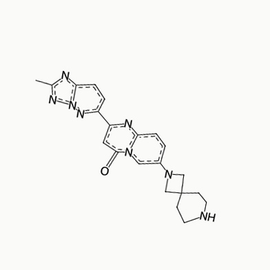 Cc1nc2ccc(-c3cc(=O)n4cc(N5CC6(CCNCC6)C5)ccc4n3)nn2n1